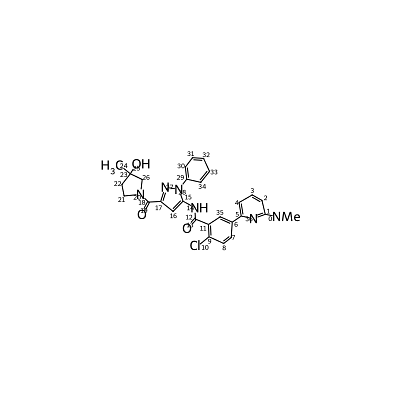 CNc1cccc(-c2ccc(Cl)c(C(=O)Nc3cc(C(=O)N4CCC(C)(O)C4)nn3-c3ccccc3)c2)n1